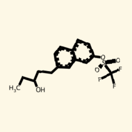 CCC(O)CCc1ccc2ccc(OS(=O)(=O)C(F)(F)F)cc2c1